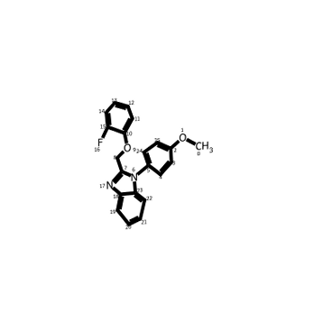 COc1ccc(-n2c(COc3ccccc3F)nc3ccccc32)cc1